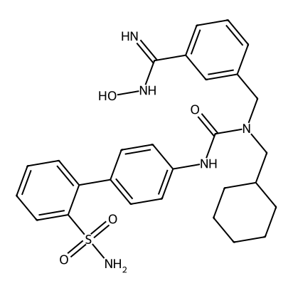 N=C(NO)c1cccc(CN(CC2CCCCC2)C(=O)Nc2ccc(-c3ccccc3S(N)(=O)=O)cc2)c1